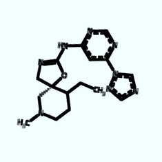 CCC1CCN(C)C[C@@]12CN=C(Nc1cc(-n3cncn3)ncn1)O2